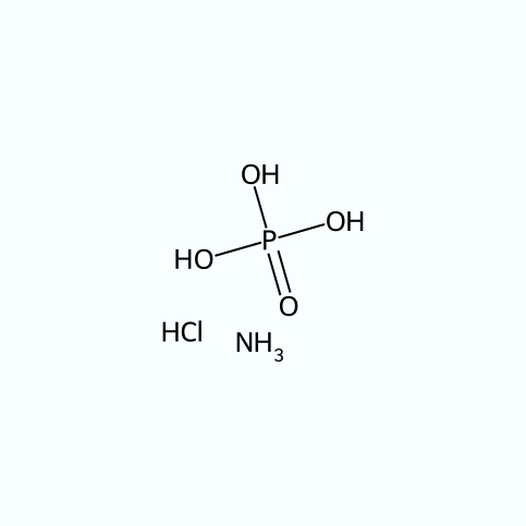 Cl.N.O=P(O)(O)O